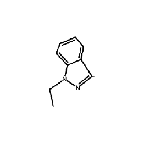 CCn1n[c]c2ccccc21